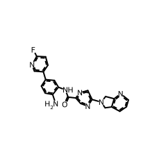 Nc1ccc(-c2ccc(F)nc2)cc1NC(=O)c1cnc(N2Cc3cccnc3C2)cn1